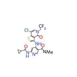 CNC(=O)c1cnc(NC(=O)C2CC2)cc1Nc1csc2c(Cl)cn(CC(F)(F)F)c(=O)c12